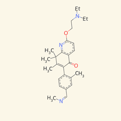 CCN(CC)CCOc1ccc2c(n1)C(C)(C)C(C)=C(c1ccc(/C=N\C)cc1C)C2=O